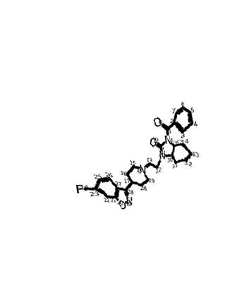 O=C(c1ccccc1)N1C(=O)N(CCN2CCC(c3noc4cc(F)ccc34)CC2)C2CCCCC21